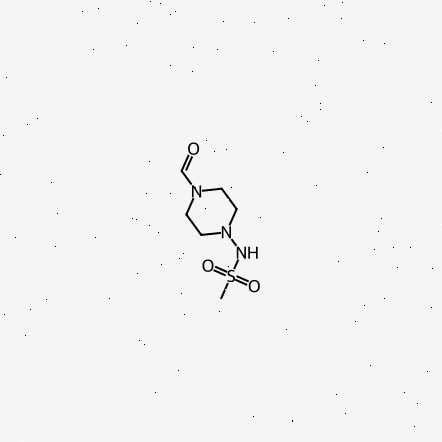 CS(=O)(=O)NN1CCN(C=O)CC1